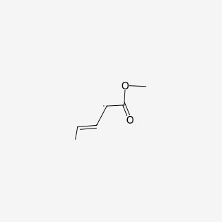 CC=C[CH]C(=O)OC